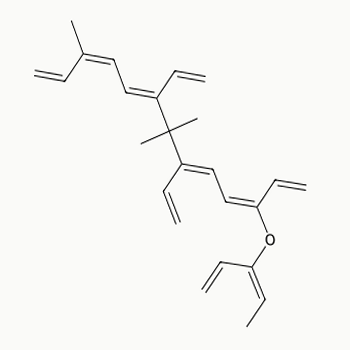 C=C/C(C)=C\C=C(/C=C)C(C)(C)/C(C=C)=C/C=C(\C=C)O/C(C=C)=C/C